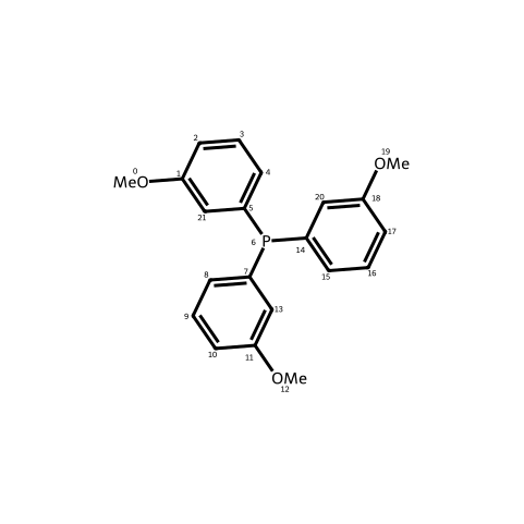 COc1cccc(P(c2cccc(OC)c2)c2cccc(OC)c2)c1